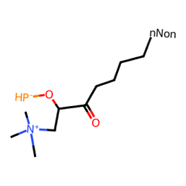 CCCCCCCCCCCCCC(=O)C(C[N+](C)(C)C)O[PH-]